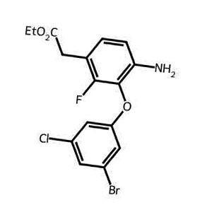 CCOC(=O)Cc1ccc(N)c(Oc2cc(Cl)cc(Br)c2)c1F